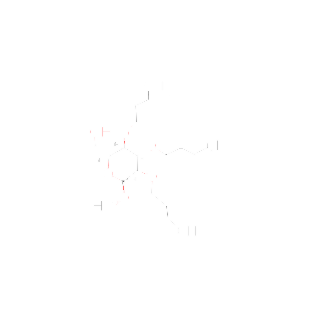 CCCCO[C@@H]1[C@@H](OCCCC)[C@@H](OC)O[C@H](CO)[C@H]1OCCCC